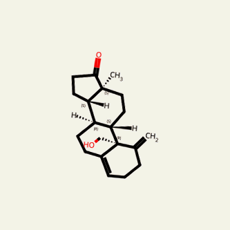 C=C1CCC=C2CC[C@@H]3[C@H](CC[C@]4(C)C(=O)CC[C@@H]34)[C@@]12CO